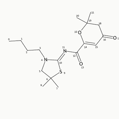 CCCCN1CC(C)(C)S/C1=N\C(=O)C1=CC(=O)CC(C)(C)O1